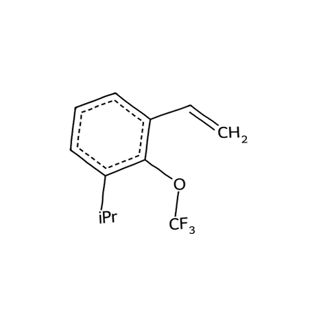 [CH2]C(C)c1cccc(C=C)c1OC(F)(F)F